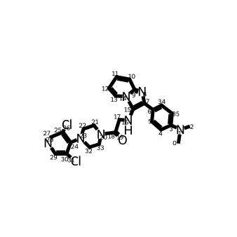 CN(C)c1ccc(-c2nc3ccccn3c2NCC(=O)N2CCN(c3c(Cl)cncc3Cl)CC2)cc1